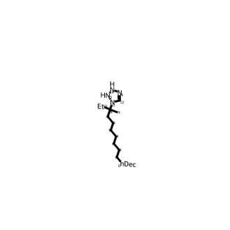 CCCCCCCCCCCCCCCCCC(C)(CC)N1C=NNN1